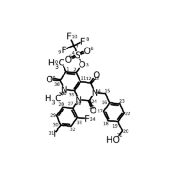 Cc1c(OS(=O)(=O)C(F)(F)F)c2c(=O)n(Cc3ccc(CO)cc3)c(=O)n(-c3ccc(I)cc3F)c2n(C)c1=O